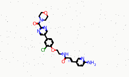 Nc1ccc(/C=C/C(=O)NCCOc2ccc(-c3cnc(C(=O)N4CCOCC4)nc3)cc2Cl)cn1